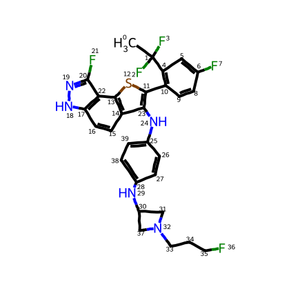 CC(F)(F)c1cc(F)ccc1-c1sc2c(ccc3[nH]nc(F)c32)c1Nc1ccc(NC2CN(CCCF)C2)cc1